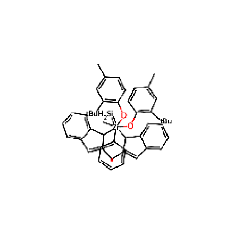 CC1=Cc2ccccc2[CH]1[Zr]([CH3])(=[SiH2])([O]c1ccc(C)cc1C(C)(C)C)([O]c1ccc(C)cc1C(C)(C)C)([c]1ccccc1)[CH]1C(C)=Cc2ccccc21